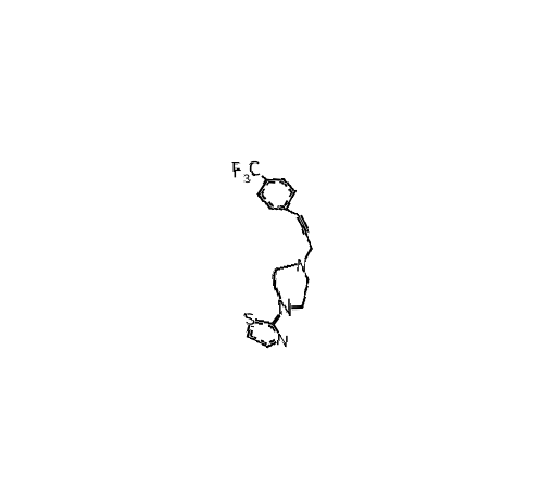 FC(F)(F)c1ccc(C#CCN2CCN(c3nccs3)CC2)cc1